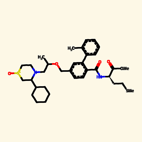 COC(=O)[C@H](CCSC)NC(=O)c1ccc(COC(C)CN2CC[S+]([O-])CC2C2CCCCC2)cc1-c1ccccc1C